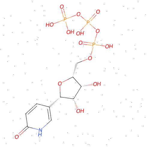 O=c1ccc([C@@H]2O[C@H](COP(=O)(O)OP(=O)(O)OP(=O)(O)O)[C@H](O)[C@@H]2O)c[nH]1